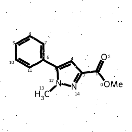 COC(=O)c1cc(-c2ccccc2)n(C)n1